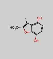 Cc1c(C(=O)O)oc2c(O)ccc(O)c12